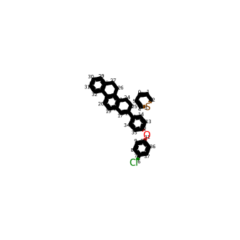 C1=CCSC=C1.Clc1ccc(Oc2ccc(C3=Cc4ccc5c(c4CC3)CCc3ccccc3-5)cc2)cc1